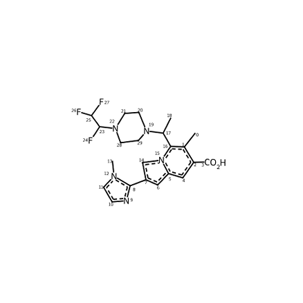 Cc1c(C(=O)O)cc2cc(-c3nccn3C)cn2c1C(C)N1CCN(C(F)C(F)F)CC1